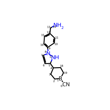 N#CB1CCC(C2C=CN(c3ccc(CN)cc3)N2)CC1